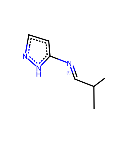 CC(C)/C=N/c1ccn[nH]1